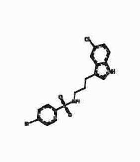 O=S(=O)(NCCCc1c[nH]c2ccc(Cl)cc12)c1ccc(Br)cc1